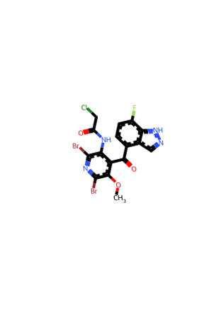 COc1c(Br)nc(Br)c(NC(=O)CCl)c1C(=O)c1ccc(F)c2[nH]ncc12